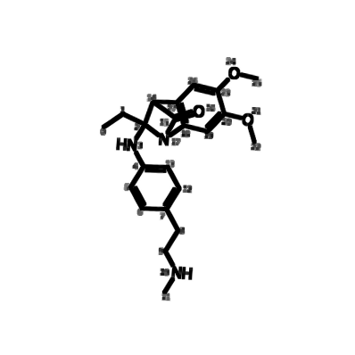 CCC1(Nc2ccc(CCNC)cc2)C2C(=O)N1c1cc(OC)c(OC)cc12